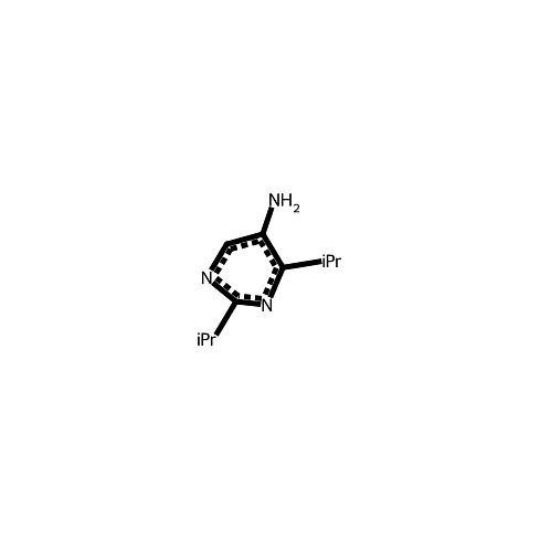 CC(C)c1ncc(N)c(C(C)C)n1